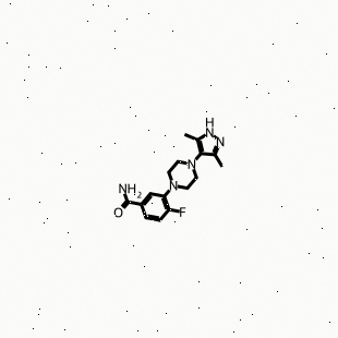 Cc1n[nH]c(C)c1N1CCN(c2cc(C(N)=O)ccc2F)CC1